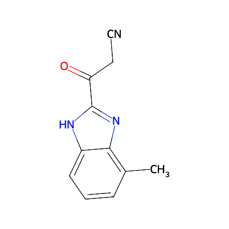 Cc1cccc2[nH]c(C(=O)CC#N)nc12